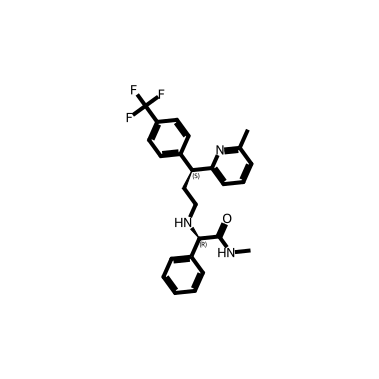 CNC(=O)[C@H](NCC[C@@H](c1ccc(C(F)(F)F)cc1)c1cccc(C)n1)c1ccccc1